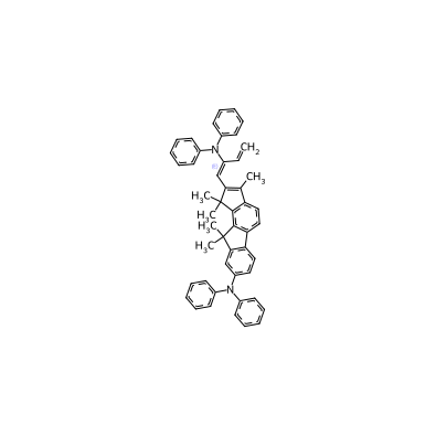 C=C/C(=C\C1=C(C)c2ccc3c(c2C1(C)C)C(C)(C)c1cc(N(c2ccccc2)c2ccccc2)ccc1-3)N(c1ccccc1)c1ccccc1